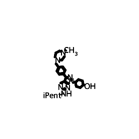 CCC[C@H](C)Nc1ncc2c(-c3ccc(CN4CCCN(C)CC4)cc3)nn(C3CCC(O)CC3)c2n1